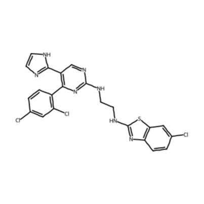 Clc1ccc(-c2nc(NCCNc3nc4ccc(Cl)cc4s3)ncc2-c2ncc[nH]2)c(Cl)c1